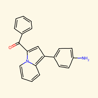 Nc1ccc(-c2cc(C(=O)c3ccccc3)n3ccccc23)cc1